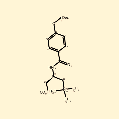 CCCCCCCCCCOc1ccc(C(=O)N[C@H](CC(=O)O)C[N+](C)(C)C)cc1